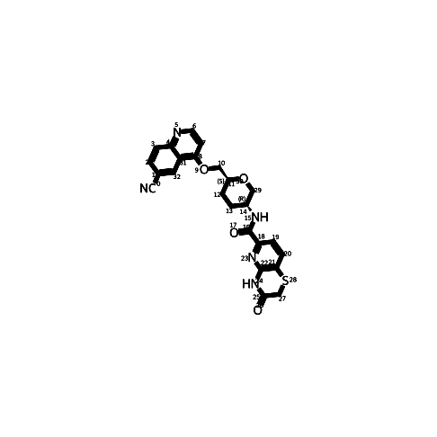 N#Cc1ccc2nccc(OC[C@@H]3CC[C@@H](NC(=O)c4ccc5c(n4)NC(=O)CS5)CO3)c2c1